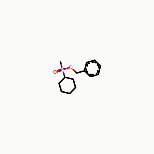 CP(=O)(OCc1ccccc1)C1CCCCC1